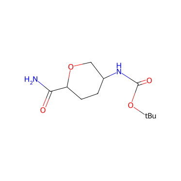 CC(C)(C)OC(=O)NC1CCC(C(N)=O)OC1